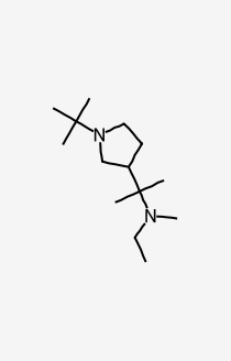 CCN(C)C(C)(C)C1CCN(C(C)(C)C)C1